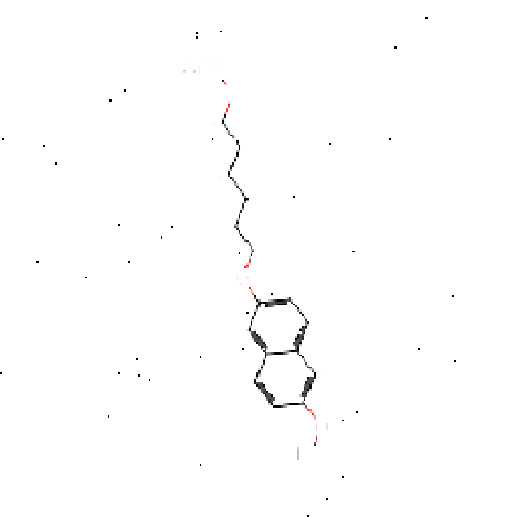 CCOc1ccc2cc(OCCCCCCOC=O)ccc2c1